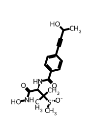 CC(O)C#Cc1ccc(C(=O)N[C@H](C(=O)NO)C(C)(C)[S+](C)[O-])cc1